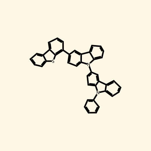 c1ccc(-n2c3ccccc3c3cc(-n4c5ccccc5c5cc(-c6cccc7c6sc6ccccc67)ccc54)ccc32)cc1